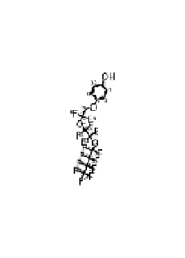 Oc1ccc(OCC(F)(F)OC(F)(F)C(F)(F)OC(F)(F)C(F)(F)C(F)(F)C(F)(F)F)cc1